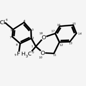 CC1(c2ccc(Cl)cc2F)OCc2ccccc2O1